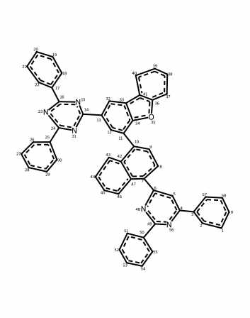 c1ccc(-c2cc(-c3ccc(-c4cc(-c5nc(-c6ccccc6)nc(-c6ccccc6)n5)cc5c4oc4ccccc45)c4ccccc34)nc(-c3ccccc3)n2)cc1